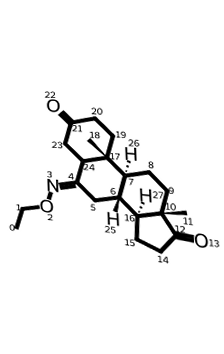 CCON=C1C[C@@H]2[C@H](CC[C@]3(C)C(=O)CC[C@@H]23)[C@@]2(C)CCC(=O)CC12